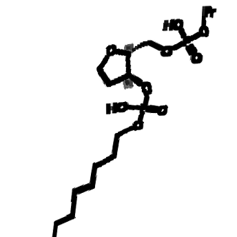 CC(C)OP(=O)(O)OC[C@H]1OCC[C@@H]1OP(=O)(O)OCCCCCCCCO